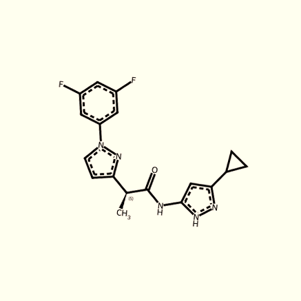 C[C@H](C(=O)Nc1cc(C2CC2)n[nH]1)c1ccn(-c2cc(F)cc(F)c2)n1